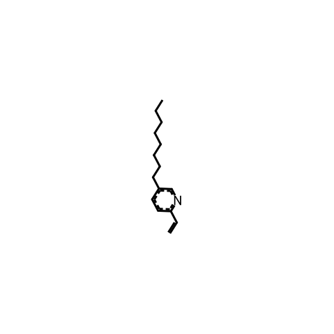 C=Cc1ccc(CCCCCCCC)cn1